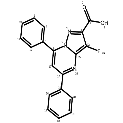 O=C(O)c1nn2c(-c3ccccc3)cc(-c3ccccc3)nc2c1F